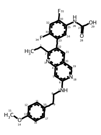 CCc1nc2cc(NCCc3ccc(OC)cc3)ncc2cc1-c1cc(NC(=O)O)c(F)cc1F